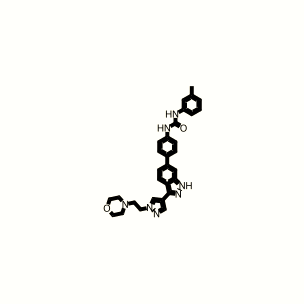 Cc1cccc(NC(=O)Nc2ccc(-c3ccc4c(-c5cnn(CCN6CCOCC6)c5)n[nH]c4c3)cc2)c1